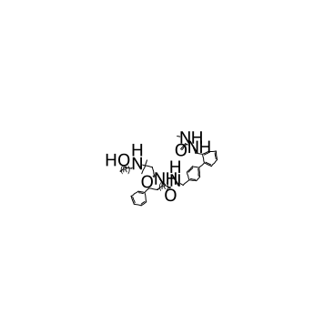 CNC(=O)NCc1ccccc1-c1ccc(CNC(=O)[C@@H](CCc2ccccc2)NC(=O)CC(C)(C)NC[C@@H](C)O)cc1